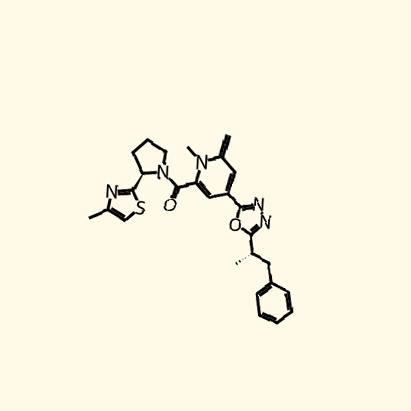 C=C1C=C(c2nnc([C@@H](C)Cc3ccccc3)o2)C=C(C(=O)N2CCC[C@@H]2c2nc(C)cs2)N1C